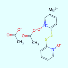 CC(=O)[O-].CC(=O)[O-].[Mg+2].[O-][n+]1ccccc1SSc1cccc[n+]1[O-]